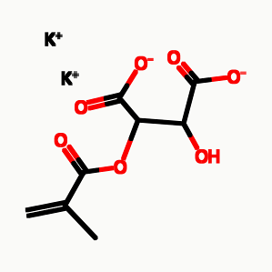 C=C(C)C(=O)OC(C(=O)[O-])C(O)C(=O)[O-].[K+].[K+]